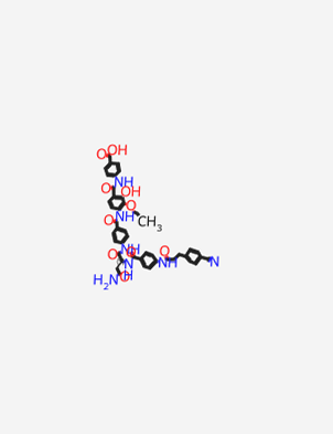 CCCOc1c(NC(=O)c2ccc(NC(=O)[C@H](CC(N)=O)NC(=O)c3ccc(NC(=O)CCc4ccc(C#N)cc4)cc3)cc2)ccc(C(=O)Nc2ccc(C(=O)O)cc2)c1O